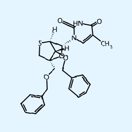 Cc1cn([C@@H]2O[C@@]3(COCc4ccccc4)CS[C@@H]2[C@@H]3OCc2ccccc2)c(=O)[nH]c1=O